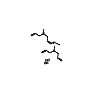 C=CCN(C)CC=C.C=CCN(C)CC=C.CCCC.Cl.Cl